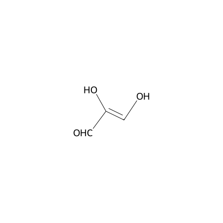 O=CC(O)=CO